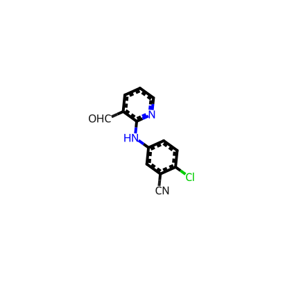 N#Cc1cc(Nc2ncccc2C=O)ccc1Cl